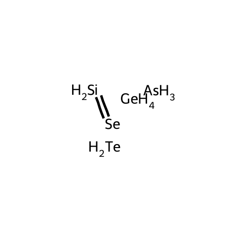 [AsH3].[GeH4].[SiH2]=[Se].[TeH2]